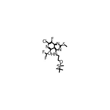 CSc1nc(NCCO[Si](C)(C)C(C)(C)C)c2c(OC(F)F)nc(Cl)c(F)c2n1